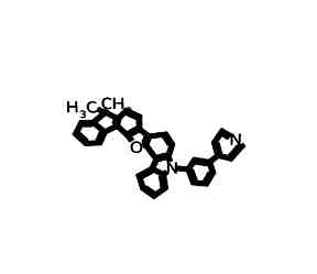 CC1(C)c2ccccc2-c2c1ccc1c2oc2c1ccc1c2c2ccccc2n1-c1cccc(-c2ccncc2)c1